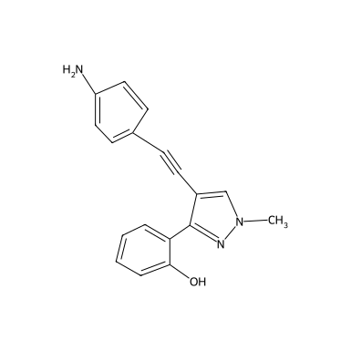 Cn1cc(C#Cc2ccc(N)cc2)c(-c2ccccc2O)n1